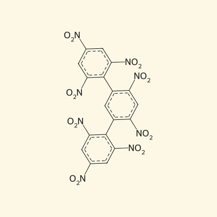 O=[N+]([O-])c1cc([N+](=O)[O-])c(-c2cc(-c3c([N+](=O)[O-])cc([N+](=O)[O-])cc3[N+](=O)[O-])c([N+](=O)[O-])cc2[N+](=O)[O-])c([N+](=O)[O-])c1